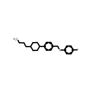 CCCCC1CCC(c2ccc(CSc3ccc(F)cc3)cc2)CC1